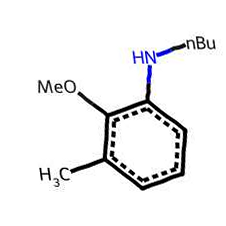 CCCCNc1cccc(C)c1OC